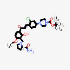 CCOc1ccc(C(=O)/C=C/c2ccc(N3CCN(C(=O)OC(C)(C)C)CC3)cc2Cl)c(O)c1CN1CCC[C@H]1C(N)=O